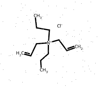 C=CC[N+](CC=C)(CCC)CCC.[Cl-]